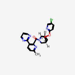 Cc1ccc(-c2ncccn2)c(C(=O)N2C[C@@H]3CC[C@H]2[C@H](Oc2ccc(Br)cn2)C3)n1